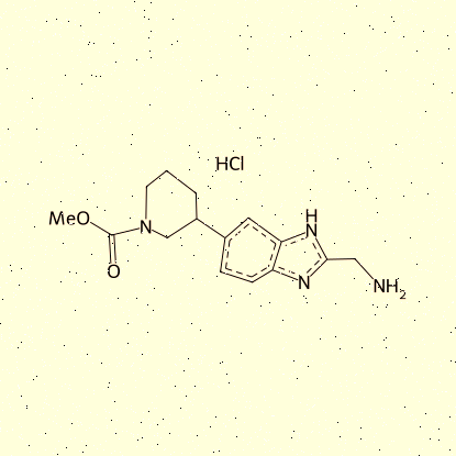 COC(=O)N1CCCC(c2ccc3nc(CN)[nH]c3c2)C1.Cl